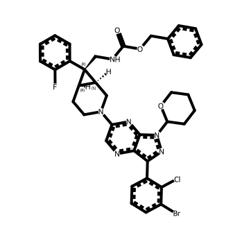 O=C(NC[C@]1(c2ccccc2F)[C@@H]2CCN(c3cnc4c(-c5cccc(Br)c5Cl)nn(C5CCCCO5)c4n3)C[C@@H]21)OCc1ccccc1